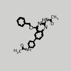 CC(=O)Nc1ccc(-c2ccc3nc(NC(C)=O)nc(OCc4ccccc4)c3c2)cc1